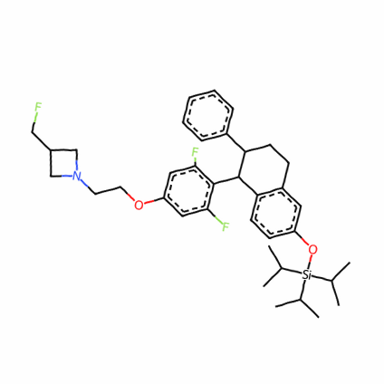 CC(C)[Si](Oc1ccc2c(c1)CCC(c1ccccc1)C2c1c(F)cc(OCCN2CC(CF)C2)cc1F)(C(C)C)C(C)C